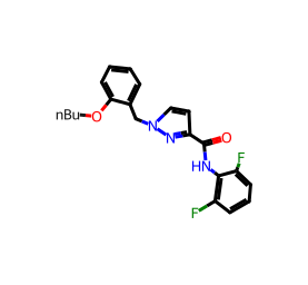 CCCCOc1ccccc1Cn1ccc(C(=O)Nc2c(F)cccc2F)n1